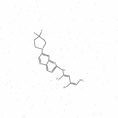 CC(C)C(=C/N)/C=C(\N)Nc1ccc2ncc(N3CCC(F)(F)CC3)cc2n1